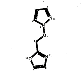 [c]1ccn(OCc2ncco2)n1